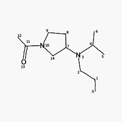 CCCN(C(C)C)C1CCN(C(C)=O)C1